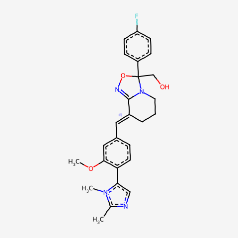 COc1cc(/C=C2\CCCN3C2=NOC3(CO)c2ccc(F)cc2)ccc1-c1cnc(C)n1C